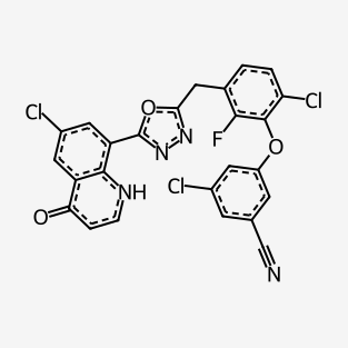 N#Cc1cc(Cl)cc(Oc2c(Cl)ccc(Cc3nnc(-c4cc(Cl)cc5c(=O)cc[nH]c45)o3)c2F)c1